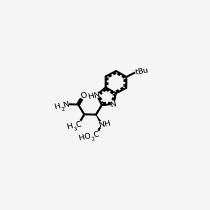 CC(C(N)=O)[C@H](NC(=O)O)c1nc2cc(C(C)(C)C)ccc2[nH]1